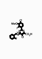 COc1c(Cl)ccc(-c2nc(NCc3ccccc3F)c(Cl)c(C(=O)O)n2)c1F